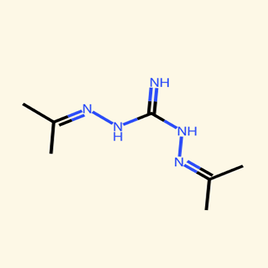 CC(C)=NNC(=N)NN=C(C)C